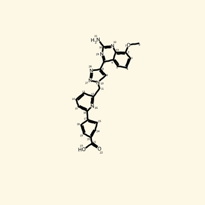 COc1cccc2c(-c3cn(Cc4cccc(-c5ccc(C(=O)O)cc5)n4)nn3)nc(N)nc12